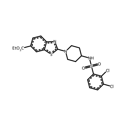 CCOC(=O)c1ccc2nc(N3CCC(NS(=O)(=O)c4cccc(Cl)c4Cl)CC3)sc2c1